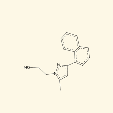 Cc1cc(-c2cccc3ccccc23)nn1CCO